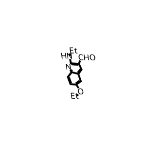 CCNc1nc2ccc(OCC)cc2cc1C=O